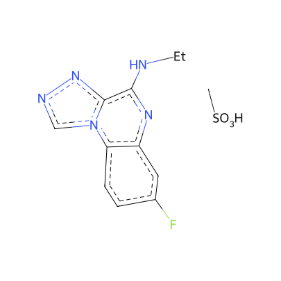 CCNc1nc2cc(F)ccc2n2cnnc12.CS(=O)(=O)O